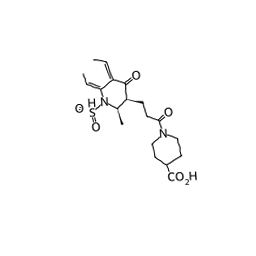 C/C=C1/C(=O)[C@@H](CCC(=O)N2CCC(C(=O)O)CC2)[C@@H](C)N([SH](=O)=O)/C1=C/C